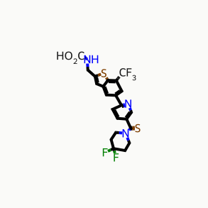 O=C(O)NCc1cc2cc(-c3ccc(C(=S)N4CCC(F)(F)CC4)cn3)cc(C(F)(F)F)c2s1